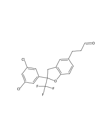 O=CCCc1ccc2c(c1)CC(c1cc(Cl)cc(Cl)c1)(C(F)(F)F)O2